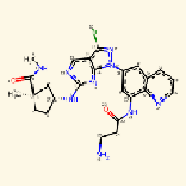 CNC(=O)[C@]1(C)CC[C@@H](Nc2ncc3c(Br)nn(-c4cc(NC(=O)CCN)c5ncccc5c4)c3n2)C1